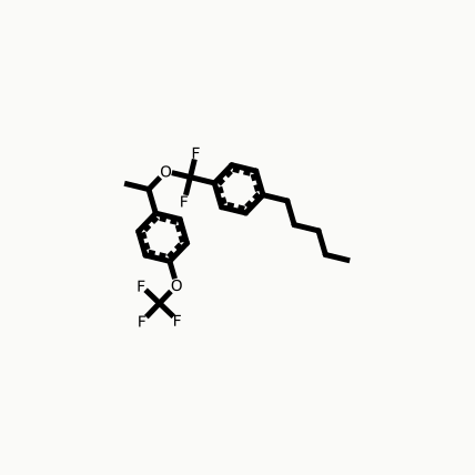 CCCCCc1ccc(C(F)(F)OC(C)c2ccc(OC(F)(F)F)cc2)cc1